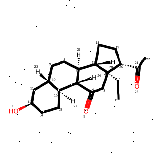 CC[C@]12CC(=O)[C@H]3[C@@H](CC[C@H]4C[C@H](O)CC[C@@H]43)[C@@H]1CC[C@@H]2C(C)=O